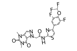 Cn1c(=O)c2c(cnn2CC(=O)Nc2nc(-c3cc(F)c(OC(F)F)c(F)c3)cs2)n(C)c1=O